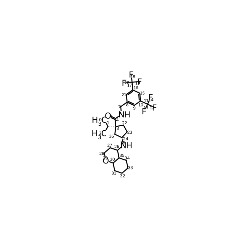 CC(C)[C@]1(C(=O)NCc2cc(C(F)(F)F)cc(C(F)(F)F)c2)CC[C@@H](NC2CCOC3CCCCC23)C1